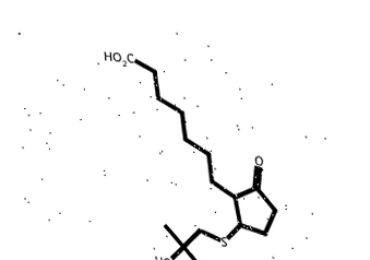 CCCCCC(C)(O)CSC1CCC(=O)C1CCCCCCC(=O)O